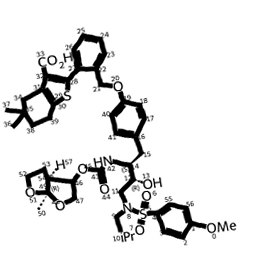 COc1ccc(S(=O)(=O)N(CC(C)C)C[C@@H](O)[C@H](Cc2ccc(OCc3ccccc3-c3sc4c(c3C(=O)O)CC(C)(C)CC4)cc2)NC(=O)OC2CO[C@@]3(C)OCC[C@@H]23)cc1